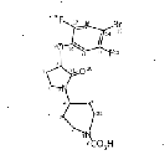 O=C(O)N1CCC(N2CCC(Oc3cc(F)c(Br)cc3F)C2=O)CC1